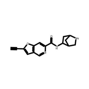 C#Cc1cc2cnc(C(=O)NC3CC4CC3CN4)cc2o1